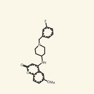 COc1ccc2oc(=O)cc(NC3CCN(Cc4cccc(F)c4)CC3)c2c1